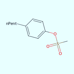 [CH2]CCCCc1ccc(OS(C)(=O)=O)cc1